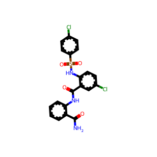 NC(=O)c1ccccc1NC(=O)c1cc(Cl)ccc1NS(=O)(=O)c1ccc(Cl)cc1